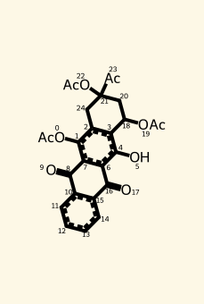 CC(=O)Oc1c2c(c(O)c3c1C(=O)c1ccccc1C3=O)C(OC(C)=O)CC(OC(C)=O)(C(C)=O)C2